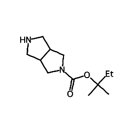 CCC(C)(C)OC(=O)N1CC2CNCC2C1